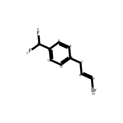 FC(F)c1ccc(CC=CBr)cc1